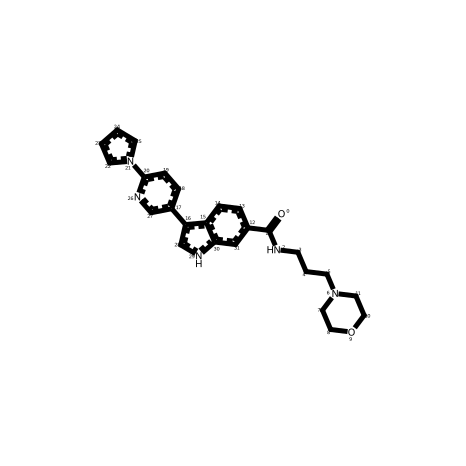 O=C(NCCCN1CCOCC1)c1ccc2c(-c3ccc(-n4cccc4)nc3)c[nH]c2c1